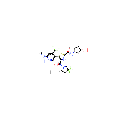 C[C@H](Nc1cc(C(F)F)c(-c2sc(C(=O)NC3CC[C@H](O)C3)nc2C(=O)N2CC(F)(F)C[C@@H]2C)cn1)C(F)(F)F